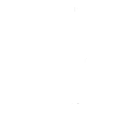 FC(F)(F)c1cccc(CCBr)c1Cl